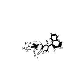 CC(C)(C)OC(=O)NC(C=O)c1cccc2ccccc12